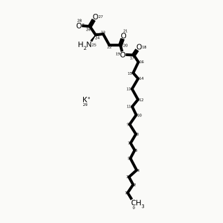 CCCCCCCCCCCCCCCCCC(=O)OC(=O)CC[C@@H](N)C(=O)[O-].[K+]